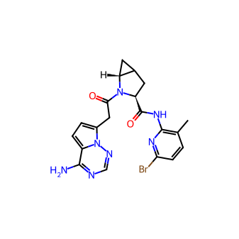 Cc1ccc(Br)nc1NC(=O)[C@@H]1CC2C[C@H]2N1C(=O)Cc1ccc2c(N)ncnn12